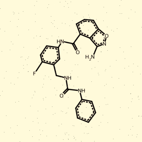 Nc1noc2cccc(C(=O)Nc3ccc(F)c(CNC(=O)Nc4ccccc4)c3)c12